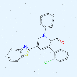 O=CC1C(c2ccccc2Cl)=CC(c2nc3ccccc3s2)=CN1c1ccccc1